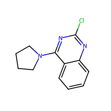 Clc1nc(N2CCCC2)c2ccccc2n1